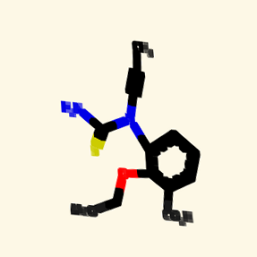 CC#CN(C(N)=S)c1cccc(C(=O)O)c1OCOC